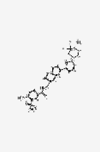 Cc1ccc(C(=O)NCc2cc3nc(-c4cccc(N5CC[C@@H](N)C(F)(F)C5)n4)ccc3cn2)cc1S(C)(=O)=O